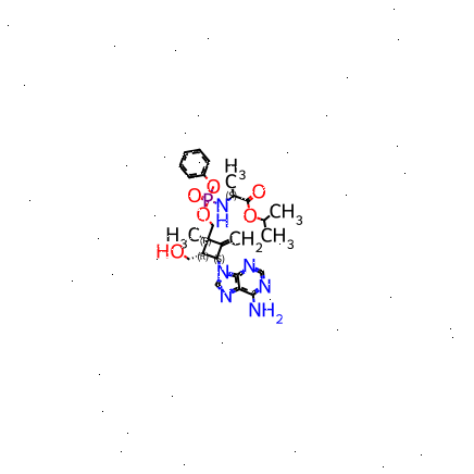 C=C1[C@@H](n2cnc3c(N)ncnc32)[C@H](CO)[C@@]1(C)COP(=O)(N[C@@H](C)C(=O)OC(C)C)Oc1ccccc1